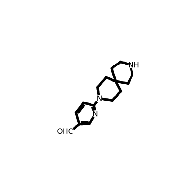 O=Cc1ccc(N2CCC3(CCNCC3)CC2)nc1